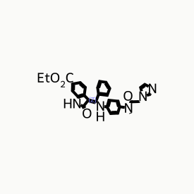 CCOC(=O)c1ccc2c(c1)NC(=O)/C2=C(\Nc1ccc(N(C)C(=O)Cn2ccnc2)cc1)c1ccccc1